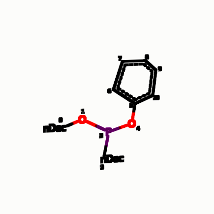 CCCCCCCCCCOP(CCCCCCCCCC)Oc1ccccc1